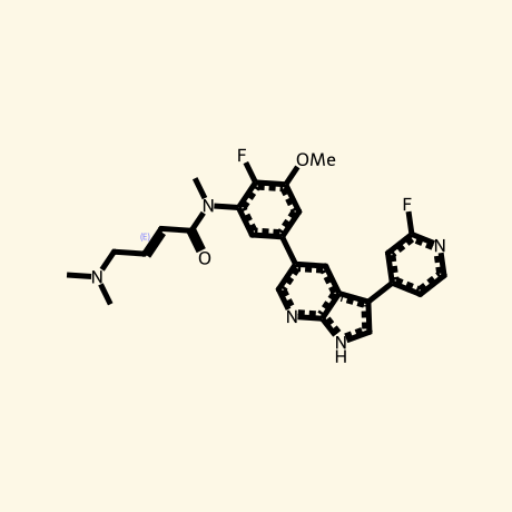 COc1cc(-c2cnc3[nH]cc(-c4ccnc(F)c4)c3c2)cc(N(C)C(=O)/C=C/CN(C)C)c1F